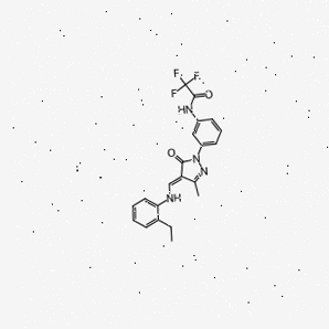 CCc1ccccc1NC=C1C(=O)N(c2cccc(NC(=O)C(F)(F)F)c2)N=C1C